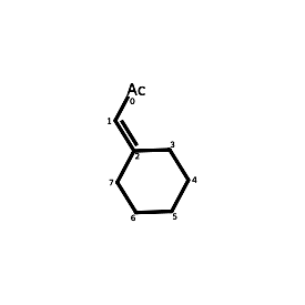 CC(=O)C=C1CCCCC1